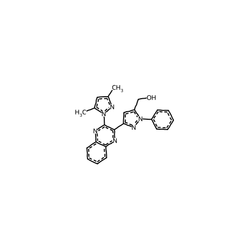 Cc1cc(C)n(-c2nc3ccccc3nc2-c2cc(CO)n(-c3ccccc3)n2)n1